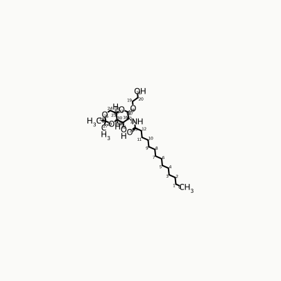 CCCCCCCCCCCCCC(=O)N[C@H]1[C@@H](OCCO)O[C@@H]2COC(C)(C)O[C@H]2[C@@H]1O